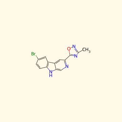 Cc1noc(-c2cc3c(cn2)[nH]c2ccc(Br)cc23)n1